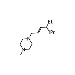 CCC(/C=C/CN1CCN(C)CC1)C(C)C